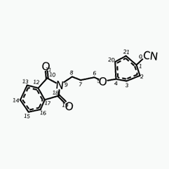 N#Cc1ccc(OCCCN2C(=O)c3ccccc3C2=O)cc1